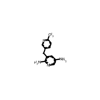 Nc1cnc(N)c(Cc2ccc(C(F)(F)F)nc2)c1